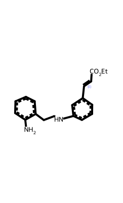 CCOC(=O)/C=C/c1cccc(NCCc2ccccc2N)c1